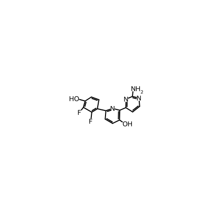 Nc1nccc(-c2nc(-c3ccc(O)c(F)c3F)ccc2O)n1